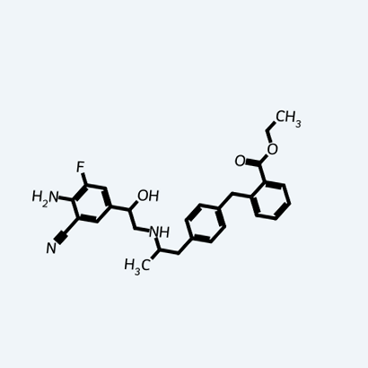 CCOC(=O)c1ccccc1Cc1ccc(CC(C)NCC(O)c2cc(F)c(N)c(C#N)c2)cc1